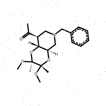 CO[C@@]1(C)O[C@@H]2[C@@H](C(C)=O)CN(Cc3ccccc3)C[C@H]2O[C@]1(C)OC